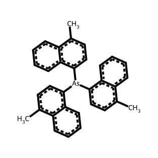 Cc1ccc([As](c2ccc(C)c3ccccc23)c2ccc(C)c3ccccc23)c2ccccc12